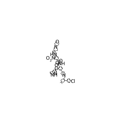 CC1(C)CCC(CN2CC=C(c3ccc(C(=O)NS(=O)(=O)c4ccc(NCC5(F)CCN(C6CCOCC6)CC5)c([N+](=O)[O-])c4)c(Oc4cnc5[nH]ccc5c4)c3)CC2)=C(c2ccc(Cl)cc2)C1